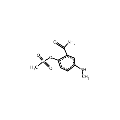 CNc1ccc(OS(C)(=O)=O)c(C(N)=O)c1